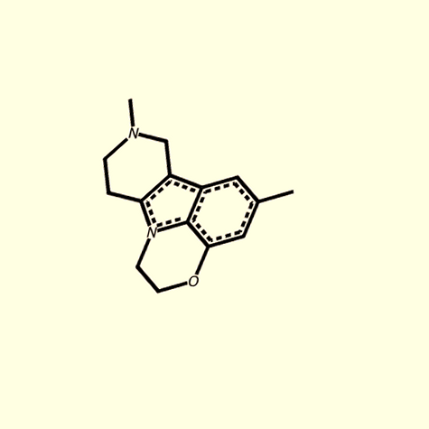 Cc1cc2c3c(c1)c1c(n3CCO2)CCN(C)C1